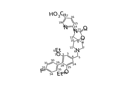 CCOc1cc(CN2CCC3(CC2)CN(c2ccc(C(=O)O)cn2)C(=O)O3)cc(OCC)c1-c1ccc(F)cc1